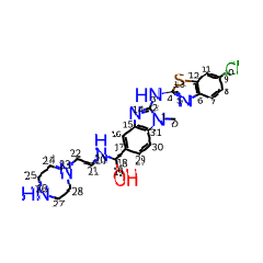 Cn1c(Nc2nc3ccc(Cl)cc3s2)nc2cc(C(O)NCCN3CCNCC3)ccc21